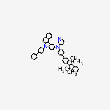 CC1(C)C2=C(c3ccccc31)C(C)(C)c1cc(-c3ccc(N(c4cccnc4)c4ccc5c(c4)c4c6ccccc6ccc4n5-c4ccc(-c5ccccc5)cc4)cc3)ccc12